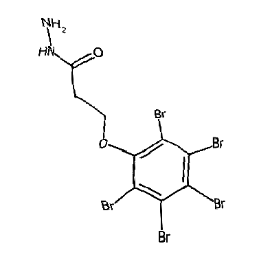 NNC(=O)CCOc1c(Br)c(Br)c(Br)c(Br)c1Br